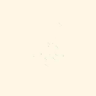 CC(C)(C)OC(=O)N(C(=O)OC(C)(C)C)c1nn(C(=O)O)c2nc(-c3ccc([N+](=O)[O-])cc3)ncc12